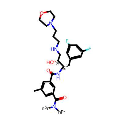 CCCN(CCC)C(=O)c1cc(C)cc(C(=O)N[C@@H](Cc2cc(F)cc(F)c2)[C@H](O)CNCCCN2CCOCC2)c1